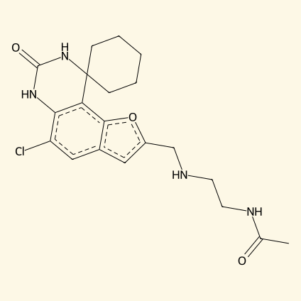 CC(=O)NCCNCc1cc2cc(Cl)c3c(c2o1)C1(CCCCC1)NC(=O)N3